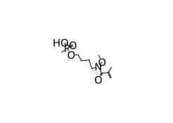 C=C(C)C(=O)N(CCCCOP(C)(=O)O)OC